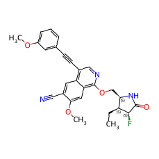 CC[C@@H]1[C@H](F)C(=O)N[C@@H]1COc1ncc(C#Cc2cccc(OC)c2)c2cc(C#N)c(OC)cc12